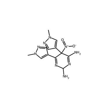 Cn1cc(C2=NC(N)N=C(N)C2(c2cnn(C)c2)[N+](=O)[O-])cn1